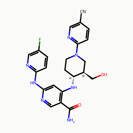 N#Cc1ccc(N2CC[C@@H](Nc3cc(Nc4ccc(F)cn4)ncc3C(N)=O)[C@H](CO)C2)nc1